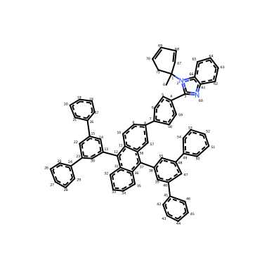 CC1(n2c(-c3ccc(-c4ccc5c(-c6cc(-c7ccccc7)cc(-c7ccccc7)c6)c6ccccc6c(-c6cc(-c7ccccc7)cc(-c7ccccc7)c6)c5c4)cc3)nc3ccccc32)C=CC=CC1